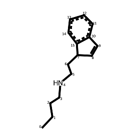 CCCCNCCC1C=Cc2ccccc21